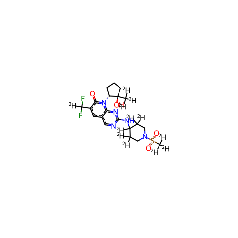 [2H]C(F)(F)c1cc2cnc(NC3([2H])C([2H])([2H])CN(S(=O)(=O)C([2H])([2H])[2H])CC3([2H])[2H])nc2n([C@@H]2CCC[C@]2(O)C([2H])([2H])[2H])c1=O